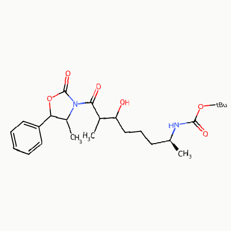 CC(C(=O)N1C(=O)OC(c2ccccc2)C1C)C(O)CCC[C@H](C)NC(=O)OC(C)(C)C